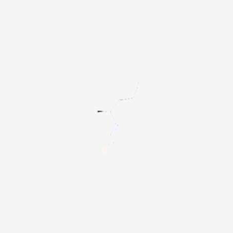 CCCCC[C@H](C)N=C=O